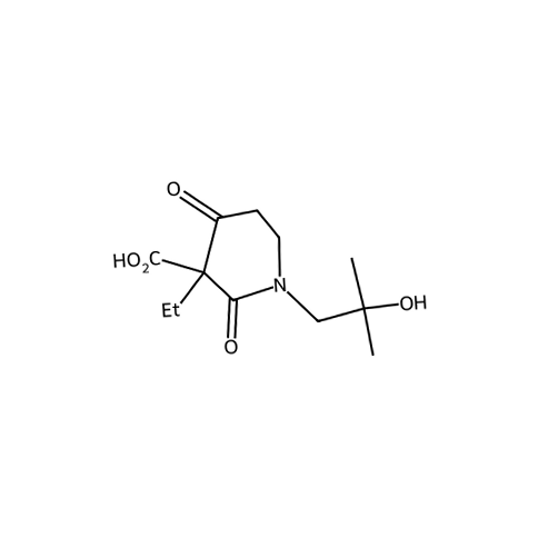 CCC1(C(=O)O)C(=O)CCN(CC(C)(C)O)C1=O